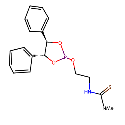 CNC(=S)NCCOP1O[C@H](c2ccccc2)[C@@H](c2ccccc2)O1